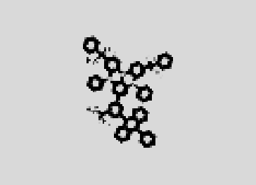 CC(C)c1cc(-c2cc3c4c(c2)N(c2ccccc2)c2cc(C(C)(C)c5ccccc5)ccc2B4c2ccc(C(C)(C)c4ccccc4)cc2N3c2ccccc2)cc(-c2c3ccccc3c(-c3ccccc3)c3ccccc23)c1